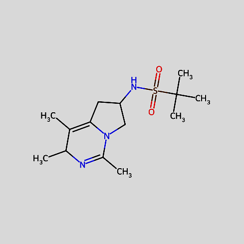 CC1=NC(C)C(C)=C2CC(NS(=O)(=O)C(C)(C)C)CN12